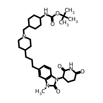 Cn1c(=O)n(C2CCC(=O)NC2=O)c2ccc(CCCC3CCN(CC4CCC(NC(=O)OC(C)(C)C)CC4)CC3)cc21